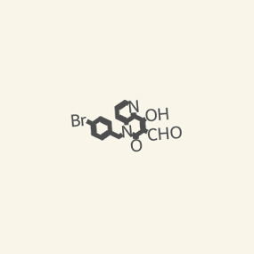 O=Cc1c(O)c2ncccc2n(Cc2ccc(Br)cc2)c1=O